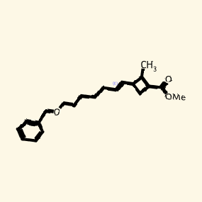 COC(=O)C1CC(/C=C/CCCCCOCc2ccccc2)C1C